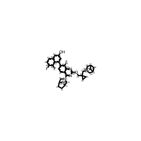 Oc1cc(-c2ccc3c(N4CC5CCC(C4)N5)nc(OCC4(CN5CC6CC(C5)C6O)CC4)nc3c2F)c2c(F)c(F)ccc2c1